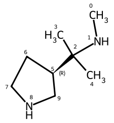 CNC(C)(C)[C@@H]1CCNC1